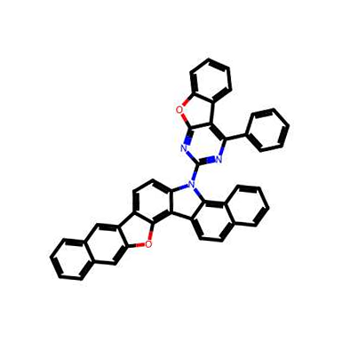 c1ccc(-c2nc(-n3c4ccc5c6cc7ccccc7cc6oc5c4c4ccc5ccccc5c43)nc3oc4ccccc4c23)cc1